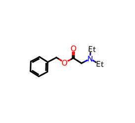 CCN(CC)CC(=O)OCc1ccccc1